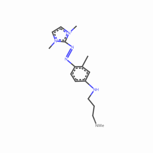 CNCCCNc1ccc(/N=N/c2n(C)cc[n+]2C)c(C)c1